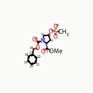 COC(=O)[C@@H]1CC(OS(C)(=O)=O)CN1C(=O)OCc1ccccc1